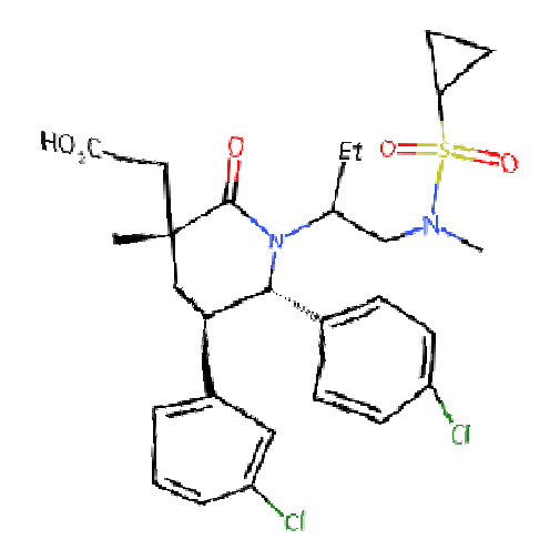 CCC(CN(C)S(=O)(=O)C1CC1)N1C(=O)[C@@](C)(CC(=O)O)C[C@H](c2cccc(Cl)c2)[C@H]1c1ccc(Cl)cc1